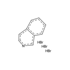 Br.Br.Br.c1ccc2cnccc2c1